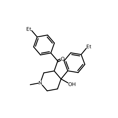 CCc1ccc(C(=O)C2CN(C)CCC2(O)c2ccc(CC)cc2)cc1